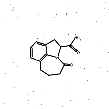 NC(=O)C1Cc2cccc3c2N1C(=O)CCC3